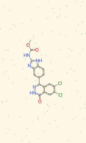 COC(=O)Nc1nc2cc(-c3n[nH]c(=O)c4cc(Cl)c(Cl)cc34)ccc2[nH]1